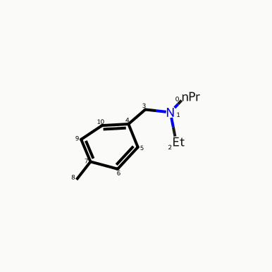 CCCN(CC)Cc1ccc(C)cc1